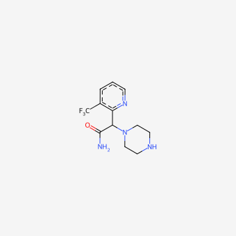 NC(=O)C(c1ncccc1C(F)(F)F)N1CCNCC1